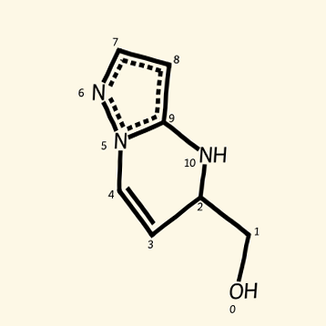 OCC1C=Cn2nccc2N1